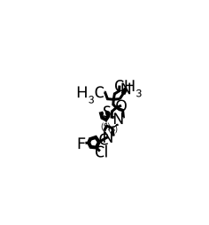 CCCC1(CCC)CC2(CCN(C[C@H]3CN(Cc4ccc(F)cc4Cl)C[C@@H]3c3ccsc3)CC2)OC1C#N